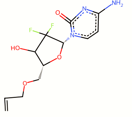 C=CCOC[C@H]1O[C@@H](n2ccc(N)nc2=O)C(F)(F)C1O